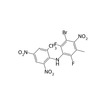 Cc1c(F)c(Nc2c([N+](=O)[O-])cc([N+](=O)[O-])cc2C(F)(F)F)c(F)c(Br)c1[N+](=O)[O-]